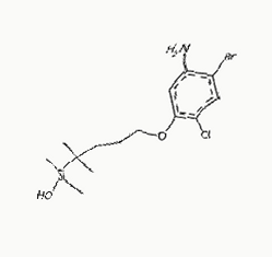 CC(C)(CCCOc1cc(N)c(Br)cc1Cl)[Si](C)(C)O